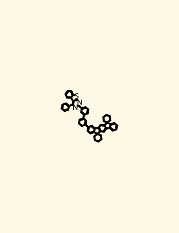 C1=C(c2cccc(-c3nc(-c4ccccc4)c4c(n3)sc3ccccc34)c2)C=C(c2ccc3c(c2)-c2cc4c(cc2C32CCCCC2)-c2ccccc2C42CCCCC2)CC1